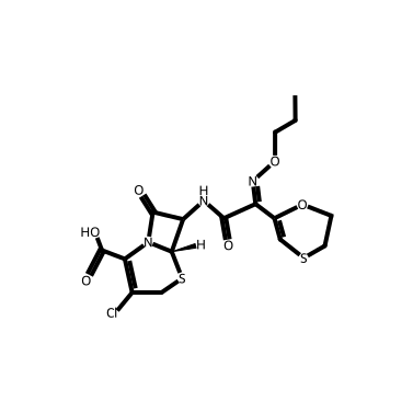 CCCON=C(C(=O)NC1C(=O)N2C(C(=O)O)=C(Cl)CS[C@@H]12)C1=CSCCO1